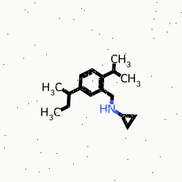 CCC(C)c1ccc(C(C)C)c(CNC2CC2)c1